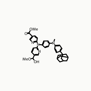 COC(=O)c1ccc(N(c2ccc(N(C)c3ccc(C45CC6CC(CC(C6)C4)C5)cc3)cc2)c2ccc(C(O)OC)cn2)nc1